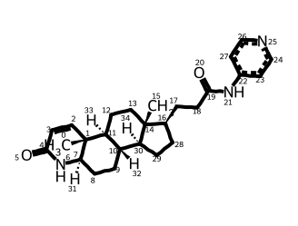 C[C@]12C=CC(=O)N[C@@H]1CC[C@@H]1[C@@H]2CC[C@]2(C)[C@@H](CCC(=O)Nc3ccncc3)CC[C@@H]12